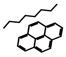 CCCCCCCC.c1cc2ccc3cccc4ccc(c1)c2c34